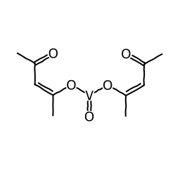 CC(=O)/C=C(/C)[O][V](=[O])[O]/C(C)=C\C(C)=O